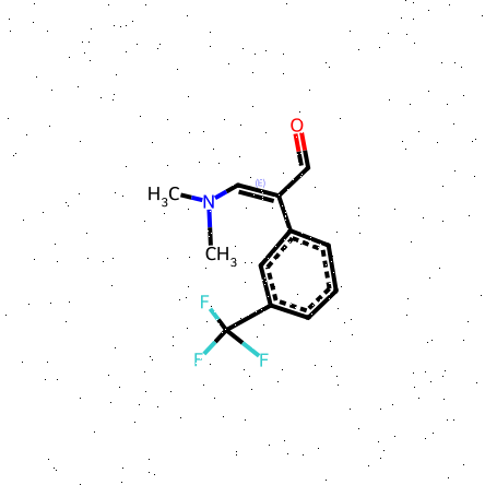 CN(C)/C=C(/C=O)c1cccc(C(F)(F)F)c1